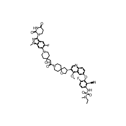 CCN(C)S(=O)(=O)Nc1ccc(F)c(Oc2ccc3ncc([C@H]4COC5(CCN(C(=O)CC6(O)CCN(c7cc8c(cc7F)c(N7CCC(=O)NC7=O)nn8C)CC6)CC5)C4)c(OC)c3c2)c1C#N